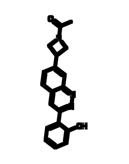 CC(=O)N1CC(c2ccc3cc(-c4ccccc4O)nnc3c2)C1